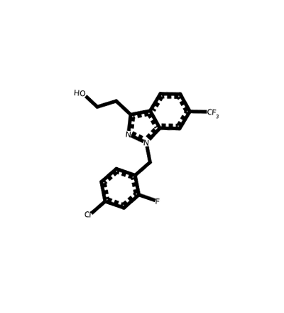 OCCc1nn(Cc2ccc(Cl)cc2F)c2cc(C(F)(F)F)ccc12